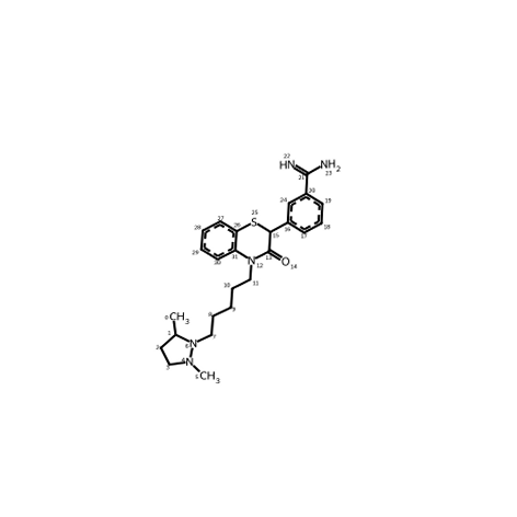 CC1CCN(C)N1CCCCCN1C(=O)C(c2cccc(C(=N)N)c2)Sc2ccccc21